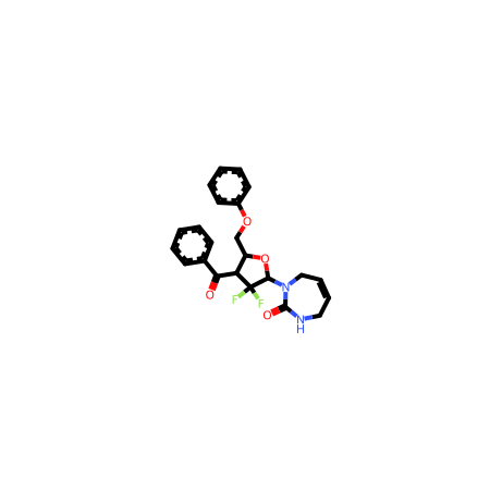 O=C(c1ccccc1)C1C(COc2ccccc2)OC(N2CC=CCNC2=O)C1(F)F